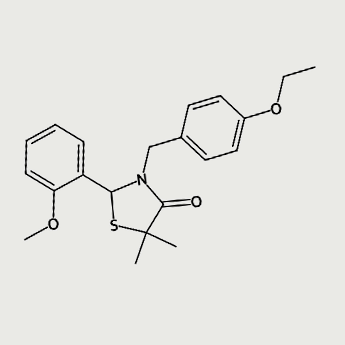 CCOc1ccc(CN2C(=O)C(C)(C)SC2c2ccccc2OC)cc1